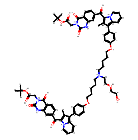 Cc1c(-c2ccc(OCCCCCN(CCCCCOc3ccc(-c4c(C)c(C(=O)c5ccc6c(=O)n(CC(=O)OC(C)(C)C)c(=O)[nH]c6c5)n5ccccc45)cc3)CCOCCO)cc2)c2ccccn2c1C(=O)c1ccc2c(=O)n(CC(=O)OC(C)(C)C)c(=O)[nH]c2c1